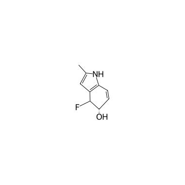 Cc1cc2c([nH]1)C=C[C@H](O)C2F